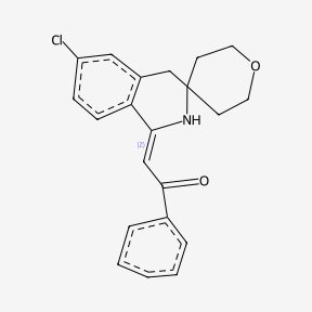 O=C(/C=C1\NC2(CCOCC2)Cc2cc(Cl)ccc21)c1ccccc1